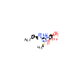 CCCSc1nc(NC2CC2c2cccc(C)c2)c2nnn([C@H]3C[C@@H](O)[C@H](O)[C@@H]3O)c2n1